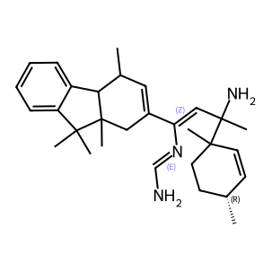 CC1C=C(C(=C/C(C)(N)C2(C)C=C[C@H](C)CC2)/N=C/N)CC2(C)C1c1ccccc1C2(C)C